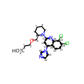 O=C(O)CCOC[C@H]1CCCCN1c1cc(-n2ccnc2)c2ccc(Cl)c(Cl)c2n1